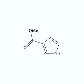 COC(=O)c1[c][nH]cc1